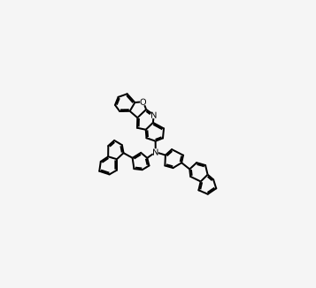 c1cc(-c2cccc3ccccc23)cc(N(c2ccc(-c3ccc4ccccc4c3)cc2)c2ccc3nc4oc5ccccc5c4cc3c2)c1